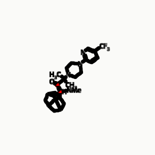 CNC(=O)C12CC3CC(C1)C(NC(=O)C(C)(C)N1CCN(c4ccc(C(F)(F)F)cn4)CC1)C(C3)C2